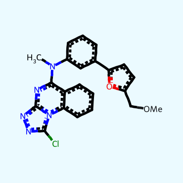 COCc1ccc(-c2cccc(N(C)c3nc4nnc(Cl)n4c4ccccc34)c2)o1